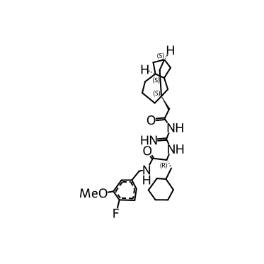 COc1cc(CNC(=O)[C@@H](CC2CCCCC2)NC(=N)NC(=O)C[C@]23CCC[C@H]4C[C@@H](CC4C2)C3)ccc1F